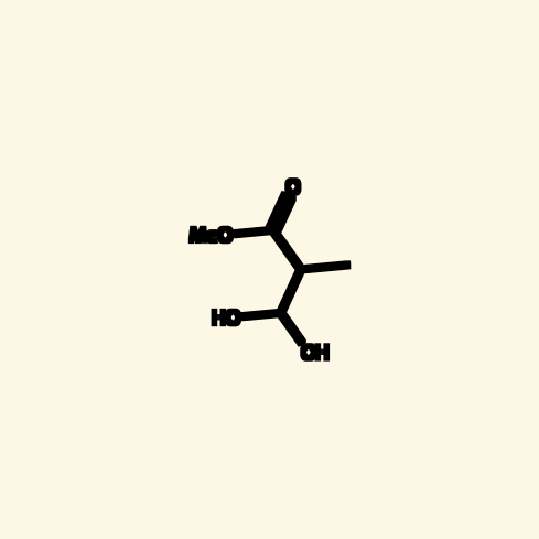 COC(=O)C(C)C(O)O